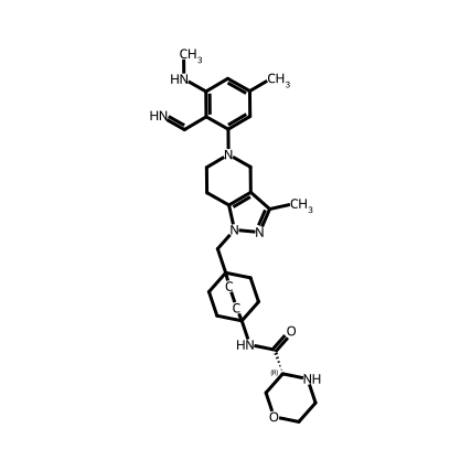 CNc1cc(C)cc(N2CCc3c(c(C)nn3CC34CCC(NC(=O)[C@H]5COCCN5)(CC3)CC4)C2)c1C=N